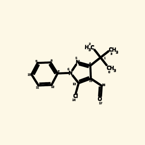 CC(C)(C)c1nn(-c2ccccc2)c(Cl)c1C=O